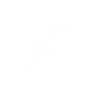 CC(=O)Nc1ccc(C2OCCO2)cc1